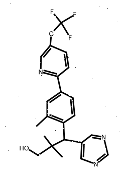 Cc1cc(-c2ccc(OC(F)(F)F)cn2)ccc1C(c1cncnc1)C(C)(C)CO